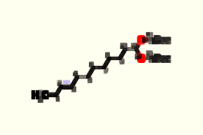 C=C/C=C/CCCCCCCC(OCCCCCCCCCC)OCCCCCCCCCC